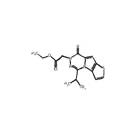 CCOC(=O)Cn1nc(C(C)C)n2c(cc3sccc32)c1=O